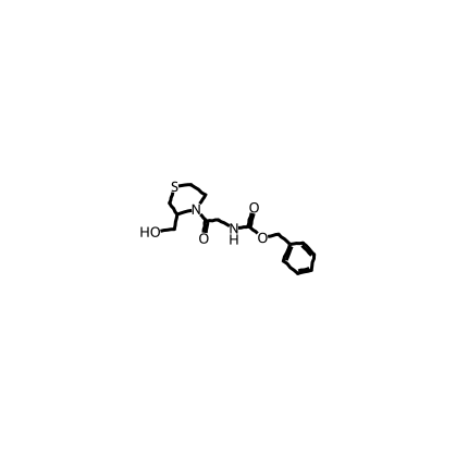 O=C(NCC(=O)N1CCSCC1CO)OCc1ccccc1